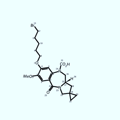 COc1cc2c(cc1OCCCCCBr)N(C(=O)O)C[C@@H]1CC3(CC3)CN1C2=O